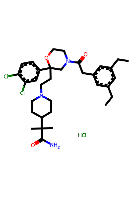 CCc1cc(CC)cc(CC(=O)N2CCOC(CCN3CCC(C(C)(C)C(N)=O)CC3)(c3ccc(Cl)c(Cl)c3)C2)c1.Cl